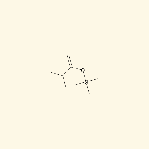 C=C(O[Si](C)(C)C)C(C)C